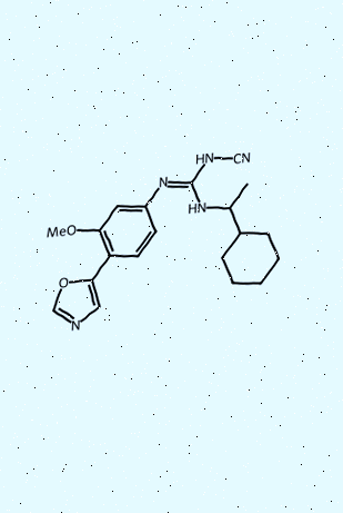 COc1cc(N=C(NC#N)NC(C)C2CCCCC2)ccc1-c1cnco1